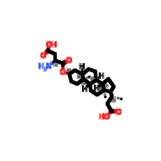 C[C@H](CC(=O)O)C1CC[C@H]2[C@@H]3CC[C@@H]4C[C@H](OC(=O)[C@@H](N)CC(=O)O)CC[C@]4(C)[C@H]3CC[C@]12C